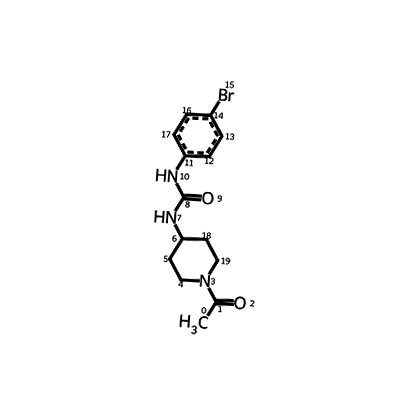 CC(=O)N1CCC(NC(=O)Nc2ccc(Br)cc2)CC1